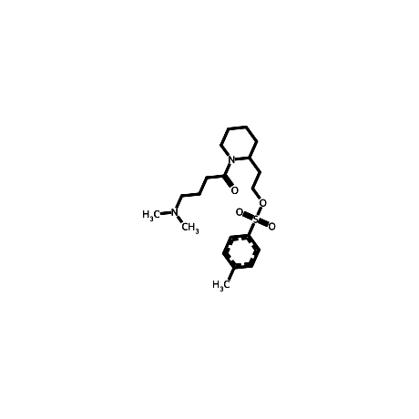 Cc1ccc(S(=O)(=O)OCCC2CCCCN2C(=O)CCCN(C)C)cc1